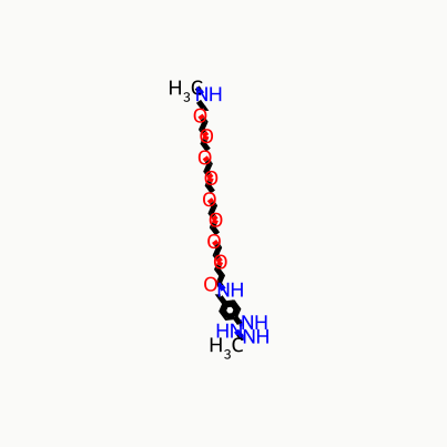 CNCCOCCOCCOCCOCCOCCOCCOCCOCCC(=O)NCc1ccc(C(=N)NC(C)=N)cc1